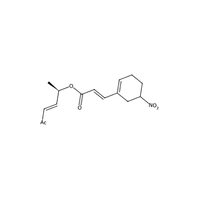 CC(=O)C=C[C@@H](C)OC(=O)/C=C/C1=CCCC([N+](=O)[O-])C1